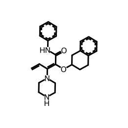 C=C/C(=C(/OC1CCc2ccccc2C1)C(=O)Nc1ccccc1)N1CCNCC1